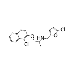 CC(COc1ccc2ccccc2c1Cl)NCc1ccc(Cl)o1